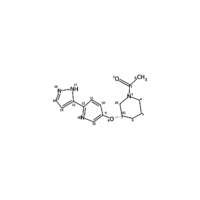 CC(=O)N1CCC[C@H](Oc2ccc(-c3ccn[nH]3)nc2)C1